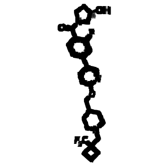 O=C(c1ccc(-c2ccc(OCC3CCN(CC4(C(F)(F)F)CCC4)CC3)nc2)cc1F)N1CC[C@H](O)C1